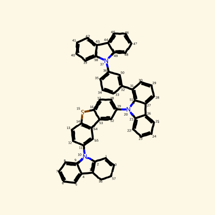 C1=Cc2c(c3ccccc3n2-c2ccc3sc4ccc(-n5c6ccccc6c6cccc(-c7cccc(-n8c9ccccc9c9ccccc98)c7)c65)cc4c3c2)CC1